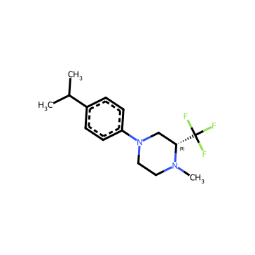 CC(C)c1ccc(N2CCN(C)[C@@H](C(F)(F)F)C2)cc1